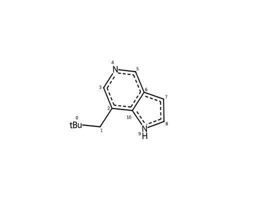 CC(C)(C)Cc1cncc2cc[nH]c12